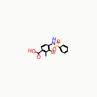 Cc1c(C(=O)O)ccc(NS(=O)(=O)c2ccccc2)c1Br